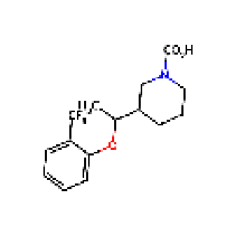 CC(Oc1ccccc1C(F)(F)F)C1CCCN(C(=O)O)C1